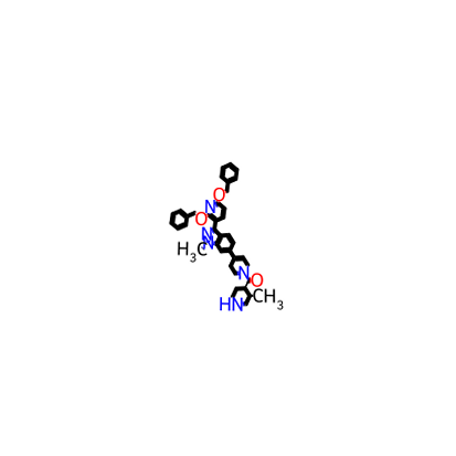 C[C@H]1CNCC[C@H]1C(=O)N1CC=C(c2ccc3c(-c4ccc(OCc5ccccc5)nc4OCc4ccccc4)nn(C)c3c2)CC1